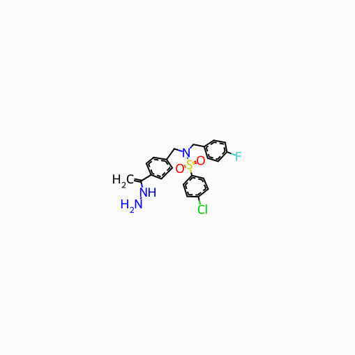 C=C(NN)c1ccc(CN(Cc2ccc(F)cc2)S(=O)(=O)c2ccc(Cl)cc2)cc1